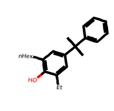 CCCCCCc1cc(C(C)(C)c2ccccc2)cc(CC)c1O